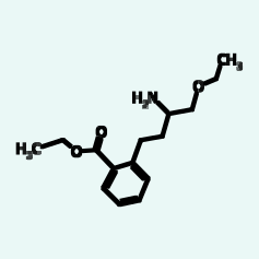 CCOCC(N)CCc1ccccc1C(=O)OCC